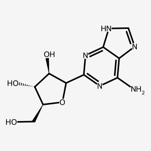 Nc1nc(C2O[C@@H](CO)[C@H](O)[C@H]2O)nc2[nH]cnc12